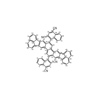 N#Cc1cc(C#N)c2ccccc2c1-c1cc2c3cc4c(cc3c(-c3c(C#N)cc(C#N)c5ccccc35)cc2c2cc3c(cc12)-c1cccc2cccc-3c12)-c1cccc2cccc-4c12